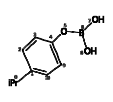 CC(C)c1ccc(OB(O)O)cc1